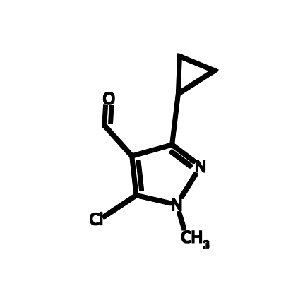 Cn1nc(C2CC2)c(C=O)c1Cl